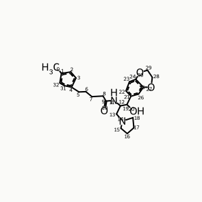 Cc1ccc(CCCCC(=O)NC(CN2CCCC2)C(O)c2ccc3c(c2)OCCO3)cc1